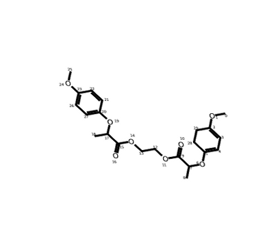 COC1=CC=C(OC(C)C(=O)OCCOC(=O)C(C)Oc2ccc(OC)cc2)CC1